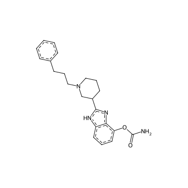 NC(=O)Oc1cccc2[nH]c(C3CCCN(CCCc4ccccc4)C3)nc12